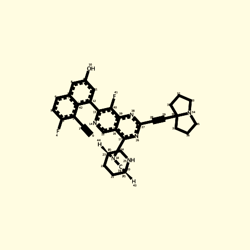 C#Cc1c(F)ccc2cc(O)cc(-c3ncc4c(N5C[C@H]6CC[C@@H]5CN6)nc(C#CC56CCCN5CCC6)nc4c3F)c12